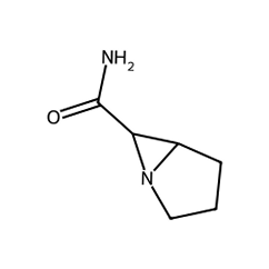 NC(=O)C1C2CCCN21